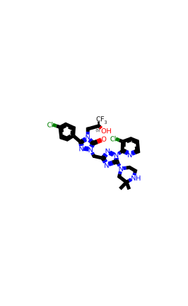 CC1(C)CN(c2nc(Cn3nc(-c4ccc(Cl)cc4)n(C[C@H](O)C(F)(F)F)c3=O)nn2-c2ncccc2Cl)CCN1